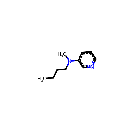 CCCCN(C)c1cccnc1